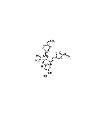 CNC1=N[C@@H]2[C@@H](OCc3ccc(OC)cc3)[C@@H](OCc3ccc(OC)cc3)[C@@H](C(C)(C)O)O[C@@H]2S1